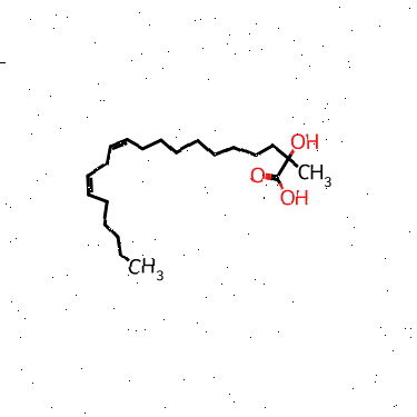 CCCCC/C=C\C/C=C\CCCCCCCCC(C)(O)C(=O)O